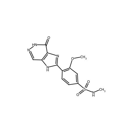 CNS(=O)(=O)c1ccc(-c2nc3c(=O)[nH]ncc3[nH]2)c(OC)c1